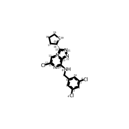 Clc1cc(Cl)cc(CNc2nc(Cl)cn3c([C@@H]4CCCS4)nnc23)c1